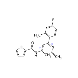 C=C/N=C(\C=C(/C)NC(=O)c1ccco1)c1ccc(F)cc1C